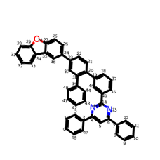 c1ccc(-c2cc(-c3ccccc3)nc(-c3cccc(-c4ccc(-c5ccc6oc7ccccc7c6c5)cc4-c4ccccc4)c3)n2)cc1